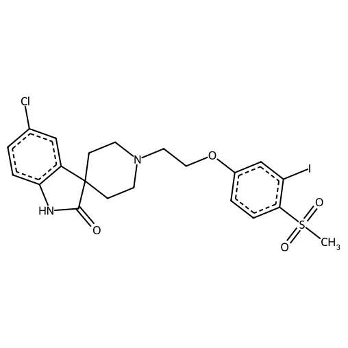 CS(=O)(=O)c1ccc(OCCN2CCC3(CC2)C(=O)Nc2ccc(Cl)cc23)cc1I